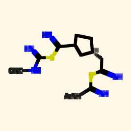 CC(=O)NC(=N)SC(=N)C[C@H]1CCC(C(=N)SC(=N)NC=O)C1